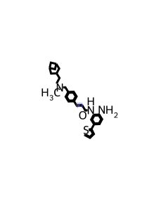 CN(CCC1CC2CC(C1)C2)Cc1ccc(/C=C/C(=O)Nc2cc(-c3cccs3)ccc2N)cc1